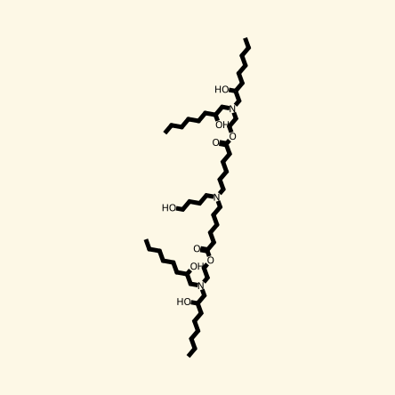 CCCCCCC(O)CN(CCOC(=O)CCCCCN(CCCCO)CCCCCC(=O)OCCN(CC(O)CCCCCC)CC(O)CCCCCC)CC(O)CCCCCC